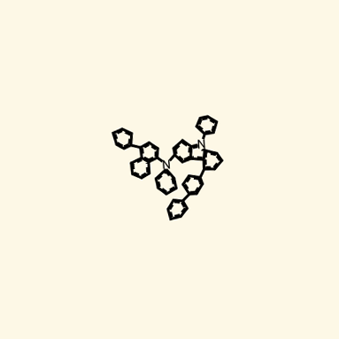 c1ccc(-c2ccc(-c3cccc4c3c3cc(N(c5ccccc5)c5ccc(-c6ccccc6)c6ccccc56)ccc3n4-c3ccccc3)cc2)cc1